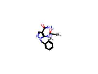 CC(C)(C)C(=O)Nc1c(C(N)=O)cnn1Cc1ccccc1C(F)(F)F